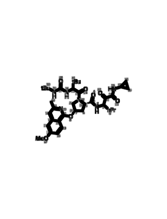 CCCC(NC(=O)[C@@H]1C[C@@H](Oc2nc(C)cc3cc(OC)ccc23)CN1C(=O)C(NC(=O)NC(C)(C)C)C(C)(C)C)C(=O)C(=O)NC1CC1